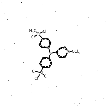 CS(Cl)(Cl)c1ccc(N(c2ccc([Si](Cl)(Cl)Cl)cc2)c2cc[si](C(Cl)(Cl)Cl)cc2)cc1